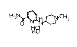 CN1CCC(Nc2cccc(C(N)=O)n2)CC1.Cl.Cl